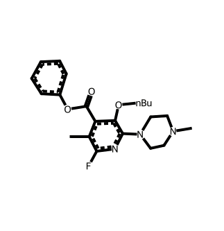 CCCCOc1c(N2CCN(C)CC2)nc(F)c(C)c1C(=O)Oc1ccccc1